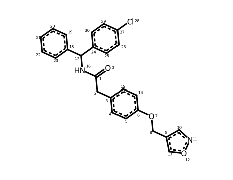 O=C(Cc1ccc(OCc2cnoc2)cc1)NC(c1ccccc1)c1ccc(Cl)cc1